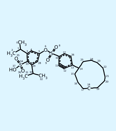 CC(C)c1cc(OS(=O)(=O)c2c#cc(C3CCCCCCCCCCC3)cc2)cc(C(C)C)c1S(=O)(=O)O